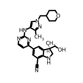 Cc1nn(CC2CCOCC2)cc1Nc1nccc(-c2cc(C#N)c3c(c2)[C@@](C)(CO)CN3)n1